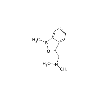 CB1OC(CN(C)C)c2ccccc21